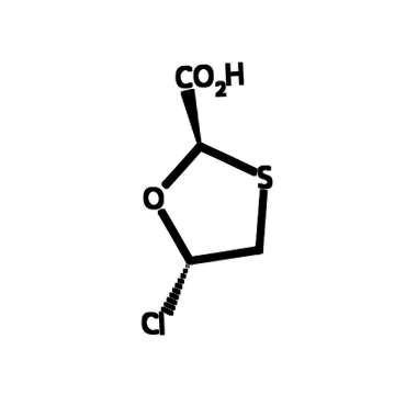 O=C(O)[C@@H]1O[C@@H](Cl)CS1